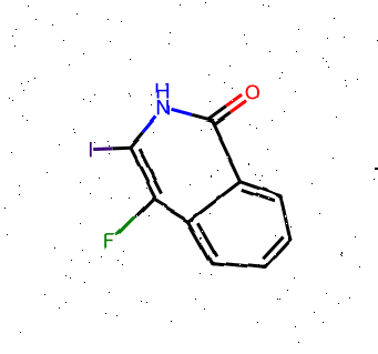 O=c1[nH]c(I)c(F)c2ccccc12